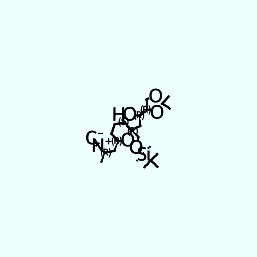 [C-]#[N+][C@H](C)C[C@H]1CC[C@@H]2O[C@@H]([C@H]3COC(C)(C)O3)C[C@]2(CO[Si](C)(C)C(C)(C)C)O1